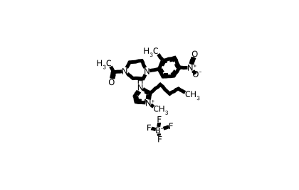 CC(=O)N1CCN(c2ccc([N+](=O)[O-])cc2C)CC1.CCCCc1[nH]cc[n+]1C.F[B-](F)(F)F